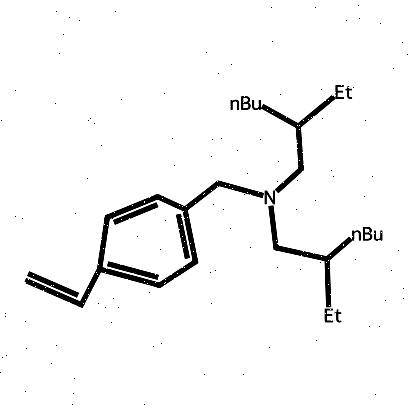 C=Cc1ccc(CN(CC(CC)CCCC)CC(CC)CCCC)cc1